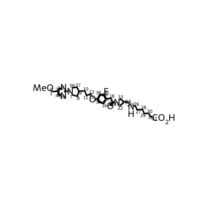 COCc1cnc(N2CCC(CCCOc3ccc(CC(=O)N4CC(CNCCCCCCC(=O)O)C4)c(F)c3)CC2)nc1